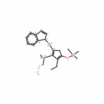 CCC1=C(O[Si](C)(C)C)C[C]([Zr+2][CH]2C=Cc3ccccc32)=C1[SiH](C)C.[Cl-].[Cl-]